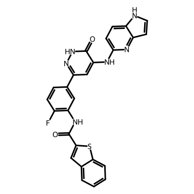 O=C(Nc1cc(-c2cc(Nc3ccc4[nH]ccc4n3)c(=O)[nH]n2)ccc1F)c1cc2ccccc2s1